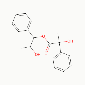 CC(O)C(OC(=O)C(C)(O)c1ccccc1)c1ccccc1